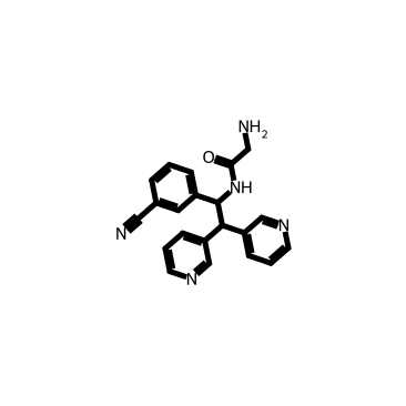 N#Cc1cccc(C(NC(=O)CN)C(c2cccnc2)c2cccnc2)c1